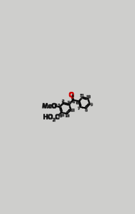 COc1cc(C(=O)c2ccccc2)ccc1C(=O)O